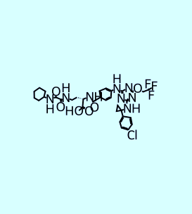 O=C(NCC[C@H](NC(=O)c1ccc(Nc2nc(NC3(c4ccc(Cl)cc4)CC3)nc(OCC(F)(F)F)n2)cc1)C(=O)O)C(=O)NC1CCCCC1